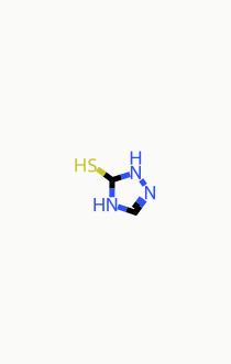 SC1NC=NN1